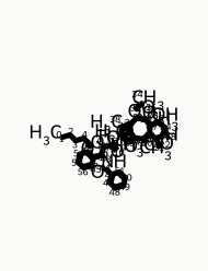 CCCCCC(=O)O[C@@H](C(=O)O[C@H]1C[C@@]2(O)[C@@H](C)C3[C@]4(C)CO[C@@H]4C[C@H](O)[C@@]3(C)C(=O)[C@H](OC(C)=O)C(=C1C)C2(C)C)[C@@H](NC(=O)c1ccccc1)c1ccccc1